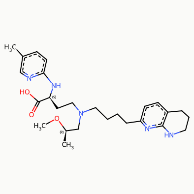 CO[C@H](C)CN(CCCCc1ccc2c(n1)NCCC2)CC[C@H](Nc1ccc(C)cn1)C(=O)O